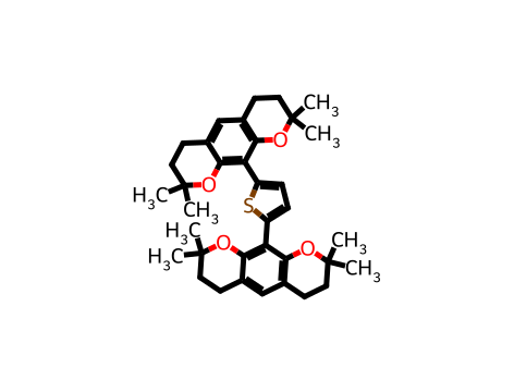 CC1(C)CCc2cc3c(c(-c4ccc(-c5c6c(cc7c5OC(C)(C)CC7)CCC(C)(C)O6)s4)c2O1)OC(C)(C)CC3